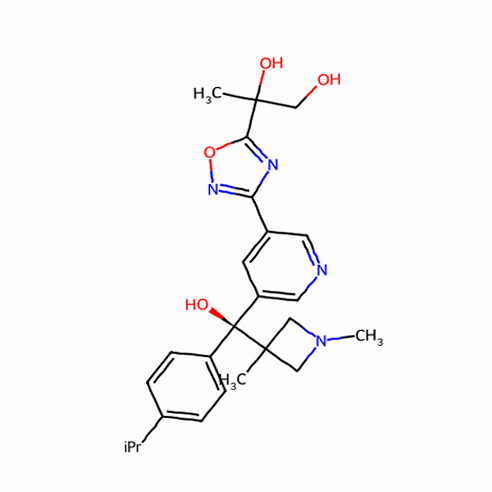 CC(C)c1ccc([C@](O)(c2cncc(-c3noc(C(C)(O)CO)n3)c2)C2(C)CN(C)C2)cc1